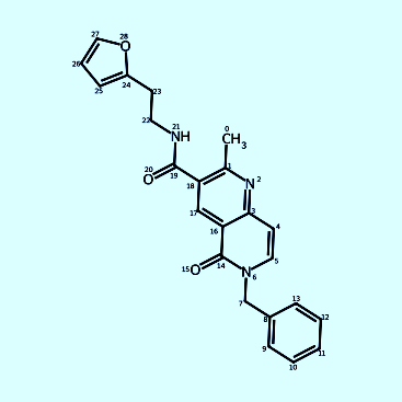 Cc1nc2ccn(Cc3ccccc3)c(=O)c2cc1C(=O)NCCc1ccco1